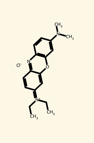 CC[N+](CC)=c1ccc2nc3ccc(N(C)C)cc3oc-2c1.[Cl-]